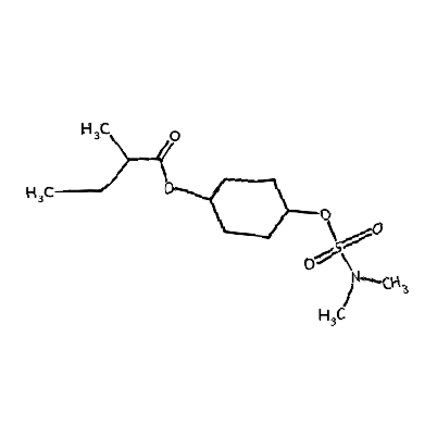 CCC(C)C(=O)OC1CCC(OS(=O)(=O)N(C)C)CC1